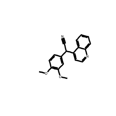 COc1ccc(C(C#N)c2ccnc3ccccc23)cc1OC